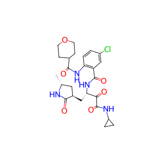 C[C@@H]1C[C@@H](C[C@H](NC(=O)c2cc(Cl)ccc2NC(=O)C2CCOCC2)C(=O)C(=O)NC2CC2)C(=O)N1